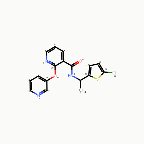 CC(NC(=O)c1cccnc1Oc1cccnc1)c1ccc(Cl)s1